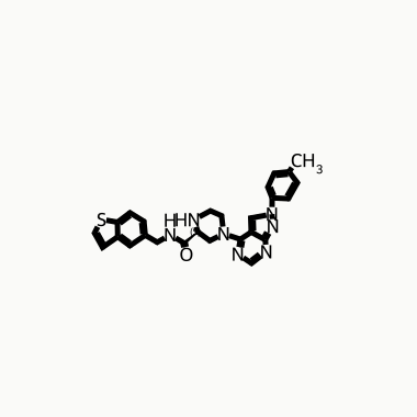 Cc1ccc(-n2cc3c(N4CCN[C@H](C(=O)NCc5ccc6sccc6c5)C4)ncnc3n2)cc1